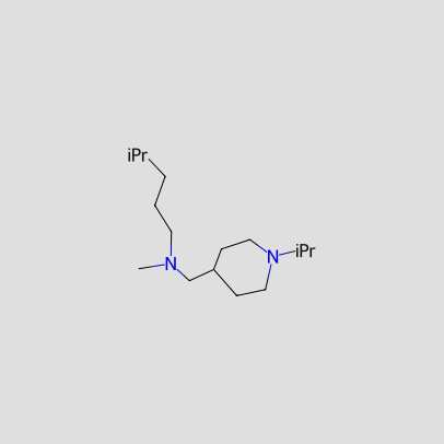 CC(C)CCCN(C)CC1CCN(C(C)C)CC1